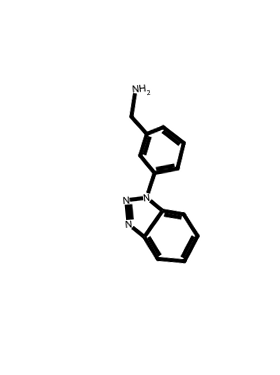 NCc1cccc(-n2nnc3ccccc32)c1